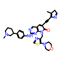 CC1=C(C#Cc2cc3cnc(Nc4ccc(C5CCCN(C)C5)cc4)nc3n(Cc3ncsc3N3CCOCC3)c2=O)N=CC1